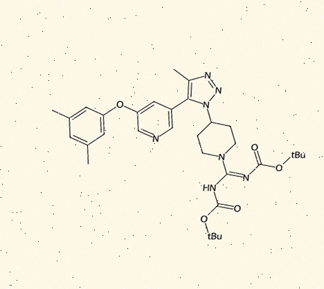 Cc1cc(C)cc(Oc2cncc(-c3c(C)nnn3C3CCN(/C(=N\C(=O)OC(C)(C)C)NC(=O)OC(C)(C)C)CC3)c2)c1